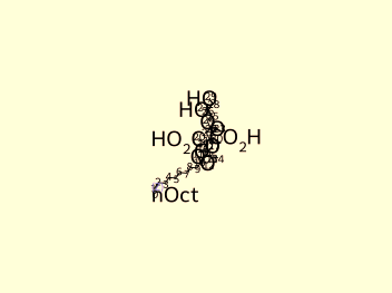 CCCCCCCC/C=C\CCCCCCCC(=O)OC(C)C(=O)OC(CC(=O)O)(CC(=O)OCC(O)CO)C(=O)O